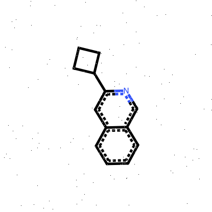 c1ccc2cc(C3CCC3)ncc2c1